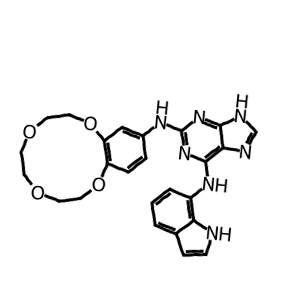 c1cc(Nc2nc(Nc3ccc4c(c3)OCCOCCOCCO4)nc3[nH]cnc23)c2[nH]ccc2c1